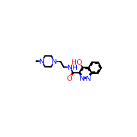 CN1CCN(CCNC(=O)c2nnc3ccccc3c2O)CC1